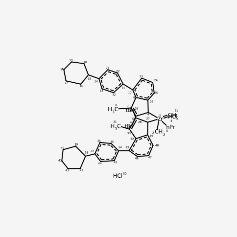 CC[CH2][Zr]([CH3])(=[SiH2])([CH]1C(C(C)(C)C)=C(C)c2c(-c3ccc(C4CCCCC4)cc3)cccc21)[CH]1C(C(C)(C)C)=C(C)c2c(-c3ccc(C4CCCCC4)cc3)cccc21.Cl.Cl